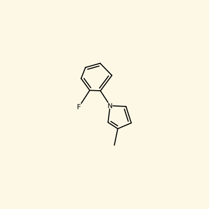 Cc1ccn(-c2ccccc2F)c1